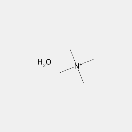 C[N+](C)(C)C.O